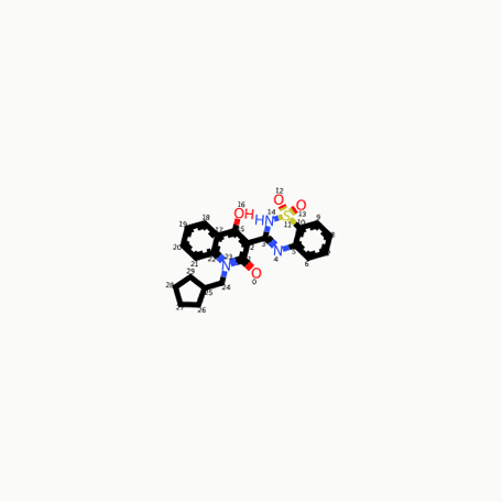 O=c1c(C2=Nc3ccccc3S(=O)(=O)N2)c(O)c2ccccc2n1CC1CCCC1